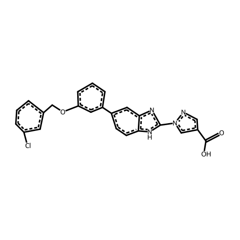 O=C(O)c1cnn(-c2nc3cc(-c4cccc(OCc5cccc(Cl)c5)c4)ccc3[nH]2)c1